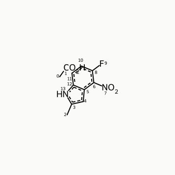 CC(=O)O.Cc1cc2c([N+](=O)[O-])c(F)ccc2[nH]1